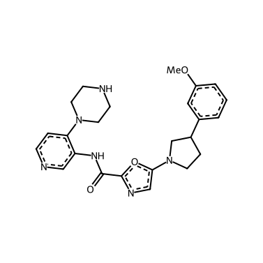 COc1cccc(C2CCN(c3cnc(C(=O)Nc4cnccc4N4CCNCC4)o3)C2)c1